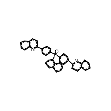 O=P(c1ccc(-c2ccc3ccccc3n2)cc1)(c1ccc(-c2ccc3ccccc3n2)cc1)c1cccc2ccccc12